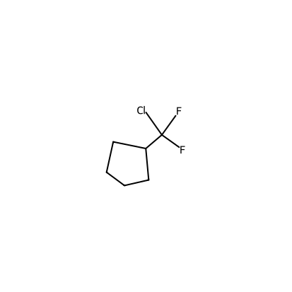 FC(F)(Cl)C1CCCC1